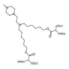 CCCCCCCCC(CCCCCC)C(=O)OCCCCCCN(CCCCCCOC(=O)C(CCCCCC)CCCCCCCC)CCN1CCN(C)CC1